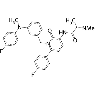 CN[C@@H](C)C(=O)Nc1ccc(-c2ccc(F)cc2)n(Cc2cccc(N(C)c3ccc(F)cc3)c2)c1=O